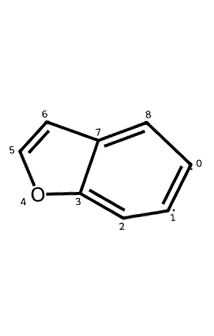 [c]1[c]cc2occc2c1